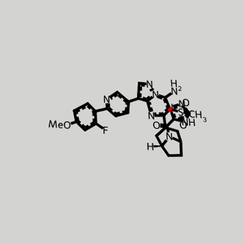 COc1ccc(-c2ccc(-c3cnn4c(N)c(S(C)(=O)=O)c(C5CC6CC[C@H](C5)N6C(=O)c5nnc[nH]5)nc34)cn2)c(F)c1